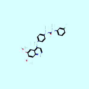 COc1cc2nccc(Nc3ccc(NC(=O)Nc4cccc(F)c4)cc3)c2cc1OC